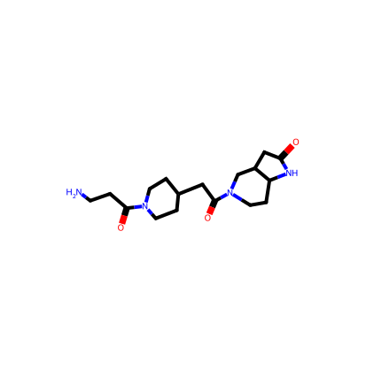 NCCC(=O)N1CCC(CC(=O)N2CCC3NC(=O)CC3C2)CC1